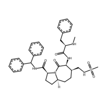 CN[C@H](Cc1ccccc1)C(=O)N[C@@H]1C(=O)N2[C@@H](CC[C@@H]1CNS(C)(=O)=O)CC[C@H]2C(=O)NC(c1ccccc1)c1ccccc1